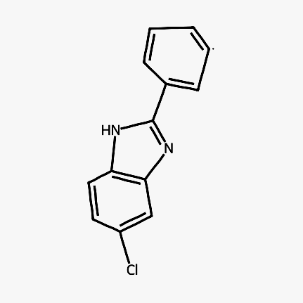 Clc1ccc2[nH]c(-c3c[c]ccc3)nc2c1